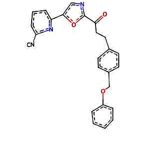 [C-]#[N+]c1cccc(-c2cnc(C(=O)CCc3ccc(COc4ccccc4)cc3)o2)n1